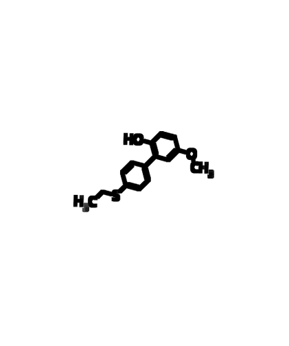 CCSc1ccc(-c2cc(OC)ccc2O)cc1